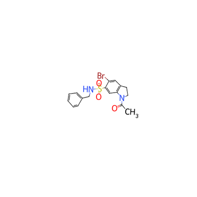 CC(=O)N1CCc2cc(Br)c(S(=O)(=O)NCc3ccccc3)cc21